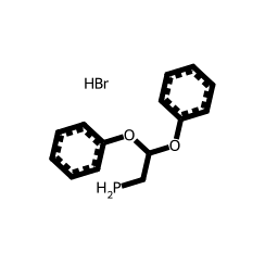 Br.PCC(Oc1ccccc1)Oc1ccccc1